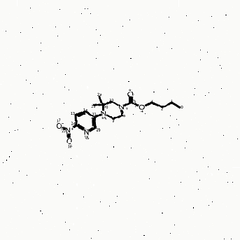 CCCCOC(=O)N1CCN(c2ccc([N+](=O)[O-])nc2)C(C)(C)C1